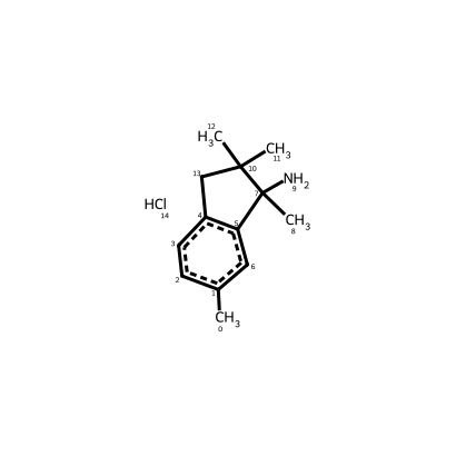 Cc1ccc2c(c1)C(C)(N)C(C)(C)C2.Cl